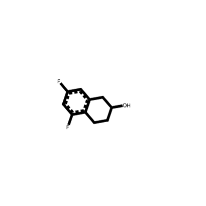 OC1CCc2c(F)cc(F)cc2C1